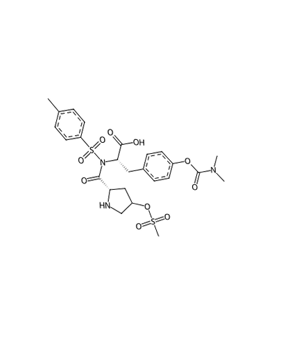 Cc1ccc(S(=O)(=O)N(C(=O)[C@@H]2CC(OS(C)(=O)=O)CN2)[C@@H](Cc2ccc(OC(=O)N(C)C)cc2)C(=O)O)cc1